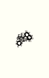 O=S(=O)(c1ccccc1)C(F)(F)C(O)c1cccc2ccccc12